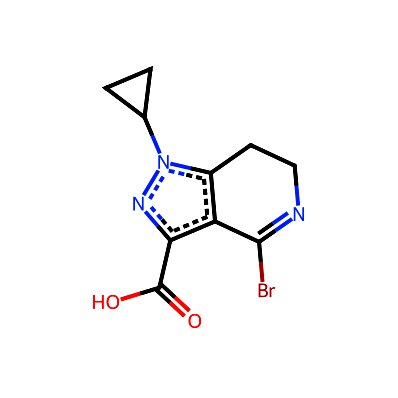 O=C(O)c1nn(C2CC2)c2c1C(Br)=NCC2